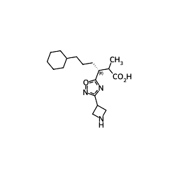 CC(C(=O)O)[C@@H](CCCC1CCCCC1)c1nc(C2CNC2)no1